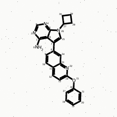 Nc1ncnc2c1c(-c1ccc3ccc(Oc4ccccc4)nc3c1)cn2C1CCC1